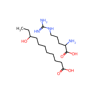 CCC(O)CCCCCCCC(=O)O.N=C(N)NCCCC(N)C(=O)O